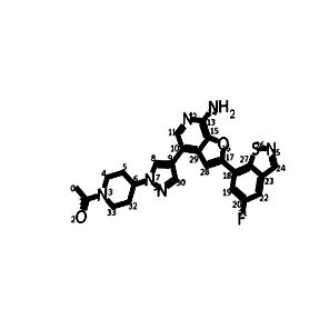 CC(=O)N1CCC(n2cc(-c3cnc(N)c4oc(-c5cc(F)cc6cnsc56)cc34)cn2)CC1